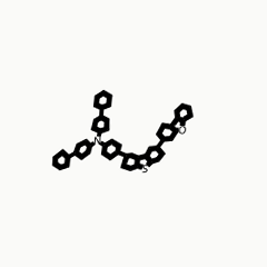 c1ccc(-c2ccc(N(c3ccc(-c4ccccc4)cc3)c3ccc(-c4ccc5sc6ccc(-c7ccc8c(c7)oc7ccccc78)cc6c5c4)cc3)cc2)cc1